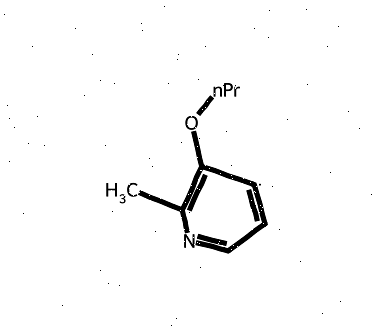 CCCOc1[c]ccnc1C